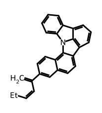 C=C(/C=C\CC)c1ccc2c(ccc3c4cccc5c6ccccc6n(c23)c54)c1